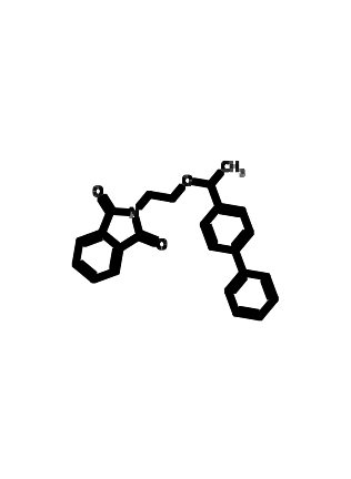 CC(OCCN1C(=O)c2ccccc2C1=O)c1ccc(-c2ccccc2)cc1